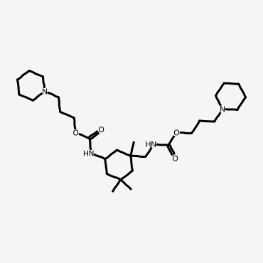 CC1(C)CC(NC(=O)OCCCN2CCCCC2)CC(C)(CNC(=O)OCCCN2CCCCC2)C1